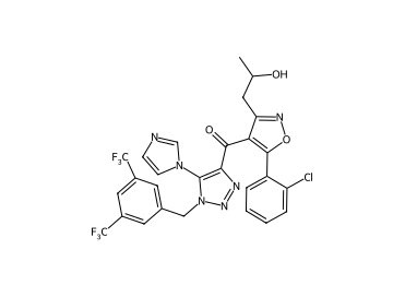 CC(O)Cc1noc(-c2ccccc2Cl)c1C(=O)c1nnn(Cc2cc(C(F)(F)F)cc(C(F)(F)F)c2)c1-n1ccnc1